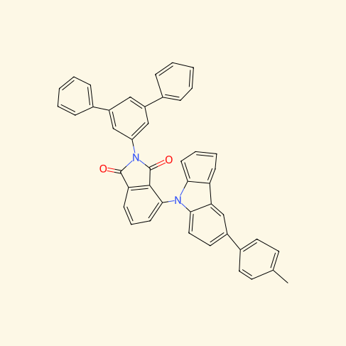 Cc1ccc(-c2ccc3c(c2)c2ccccc2n3-c2cccc3c2C(=O)N(c2cc(-c4ccccc4)cc(-c4ccccc4)c2)C3=O)cc1